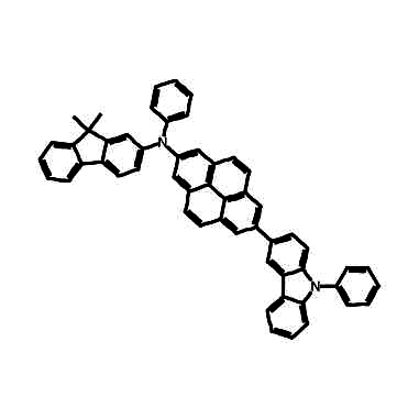 CC1(C)c2ccccc2-c2ccc(N(c3ccccc3)c3cc4ccc5cc(-c6ccc7c(c6)c6ccccc6n7-c6ccccc6)cc6ccc(c3)c4c56)cc21